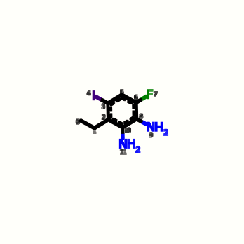 CCc1c(I)cc(F)c(N)c1N